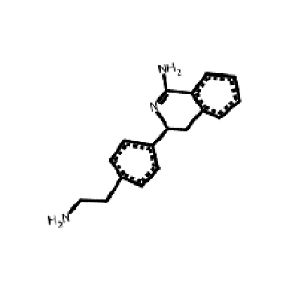 NCCc1ccc(C2Cc3ccccc3C(N)=N2)cc1